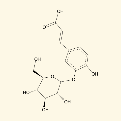 O=C(O)C=Cc1ccc(O)c(OC2O[C@H](CO)[C@@H](O)[C@H](O)[C@H]2O)c1